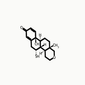 C[C@]12CC[C@H]3[C@@H]([C@H](S)CC4=CC(=O)C=C[C@@]43C)[C@@H]1CCOC2